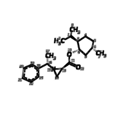 CC(C)[C@H]1CC[C@H](C)C[C@@H]1OC(=O)[C@H]1CN1[C@@H](C)c1ccccc1